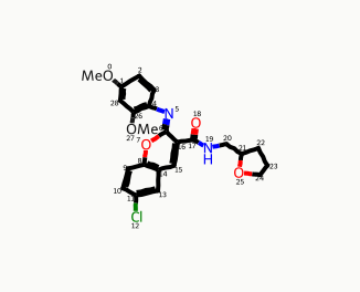 COc1ccc(/N=c2\oc3ccc(Cl)cc3cc2C(=O)NCC2CCCO2)c(OC)c1